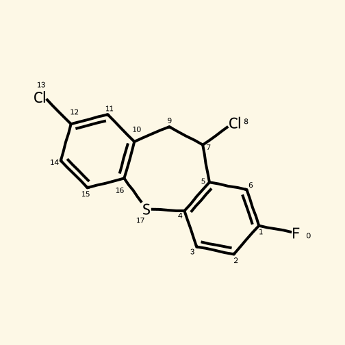 Fc1ccc2c(c1)C(Cl)Cc1cc(Cl)ccc1S2